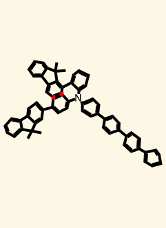 CC1(C)c2ccccc2-c2ccc(-c3ccc(N(c4ccc(-c5ccc(-c6ccc(-c7ccccc7)cc6)cc5)cc4)c4ccccc4-c4cccc5c4C(C)(C)c4ccccc4-5)cc3)cc21